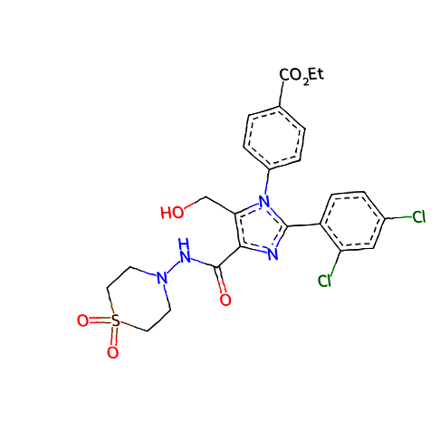 CCOC(=O)c1ccc(-n2c(-c3ccc(Cl)cc3Cl)nc(C(=O)NN3CCS(=O)(=O)CC3)c2CO)cc1